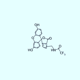 O=C1OC2(c3ccc(O)cc3Oc3cc(O)ccc32)c2cccc(CNC(=O)C(F)(F)F)c21